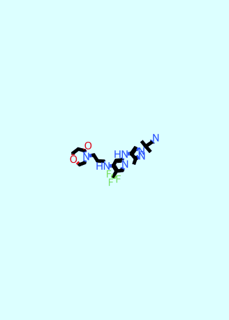 Cc1nn(C(C)(C)C#N)cc1Nc1cc(NCCCN2CCOCCC2=O)c(C(F)(F)F)cn1